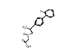 CC(C[S+]([O-])CC(=O)O)c1ccc(-c2ccccc2F)cc1